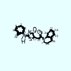 O=C1N=C(Nc2ccccc2)SC1CC(=O)N1CCCc2ccccc21